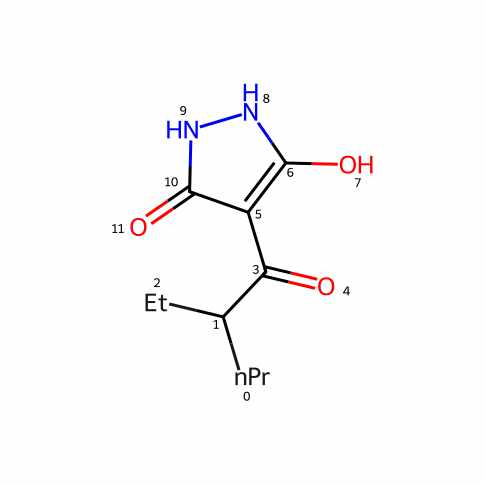 CCCC(CC)C(=O)c1c(O)[nH][nH]c1=O